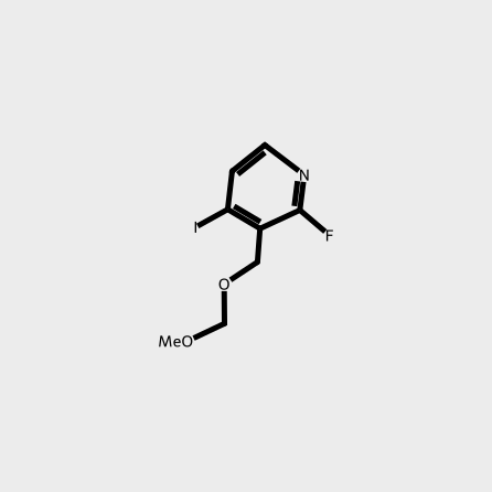 COCOCc1c(I)ccnc1F